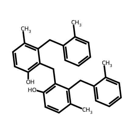 Cc1ccccc1Cc1c(C)ccc(O)c1Cc1c(O)ccc(C)c1Cc1ccccc1C